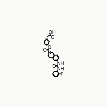 O=C(O)C[C@H]1CC[C@H](OC(=O)N2CCc3cc(NC(=O)Nc4ccccc4F)ccc3C2)C1